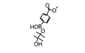 COC(=O)c1ccc(B(O)OC(C)(C)C(C)(C)O)cc1